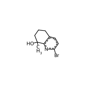 CC1(O)CCCc2ccc(Br)nc21